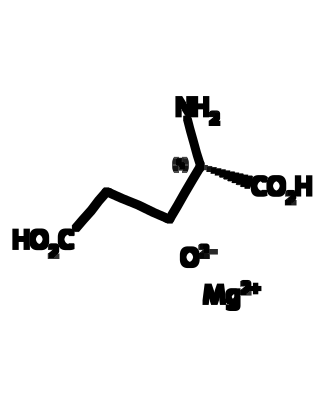 N[C@@H](CCC(=O)O)C(=O)O.[Mg+2].[O-2]